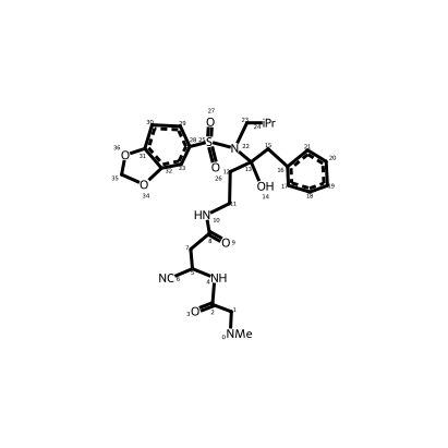 CNCC(=O)NC(C#N)CC(=O)NCCC(O)(Cc1ccccc1)N(CC(C)C)S(=O)(=O)c1ccc2c(c1)OCO2